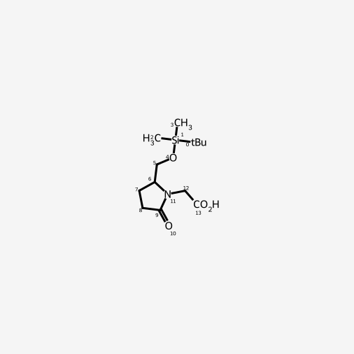 CC(C)(C)[Si](C)(C)OCC1CCC(=O)N1CC(=O)O